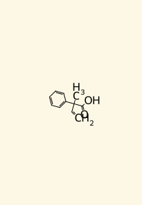 C=CC(C)(C(=O)O)c1ccccc1